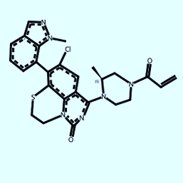 C=CC(=O)N1CCN(c2nc(=O)n3c4c(c(-c5cccc6cnn(C)c56)c(Cl)cc24)SCC3)[C@@H](C)C1